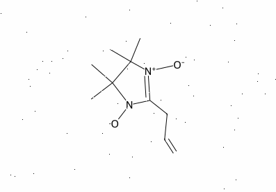 C=CCC1=[N+]([O-])C(C)(C)C(C)(C)N1[O]